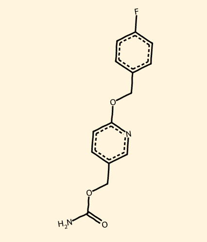 NC(=O)OCc1ccc(OCc2ccc(F)cc2)nc1